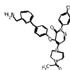 CC(=O)N1CCN(c2cnn(-c3ccc(Cl)cc3)c(=O)c2Oc2ccc(-c3cccc(CN)c3)cc2)CC1